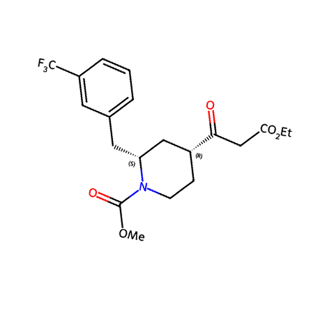 CCOC(=O)CC(=O)[C@@H]1CCN(C(=O)OC)[C@H](Cc2cccc(C(F)(F)F)c2)C1